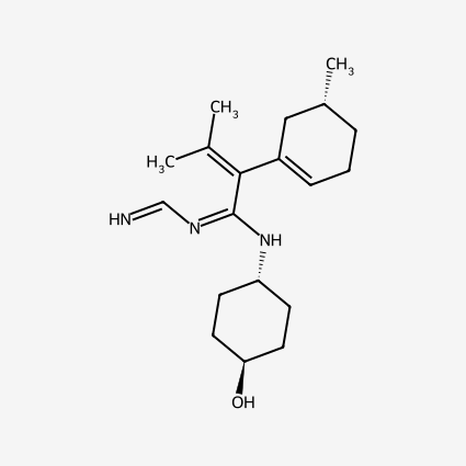 CC(C)=C(C1=CCC[C@@H](C)C1)/C(=N\C=N)N[C@H]1CC[C@H](O)CC1